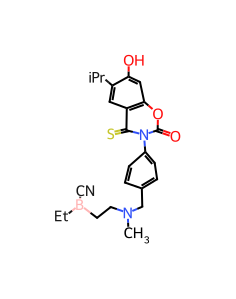 CCB(C#N)CCN(C)Cc1ccc(-n2c(=O)oc3cc(O)c(C(C)C)cc3c2=S)cc1